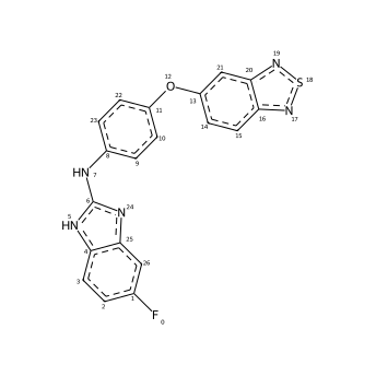 Fc1ccc2[nH]c(Nc3ccc(Oc4ccc5nsnc5c4)cc3)nc2c1